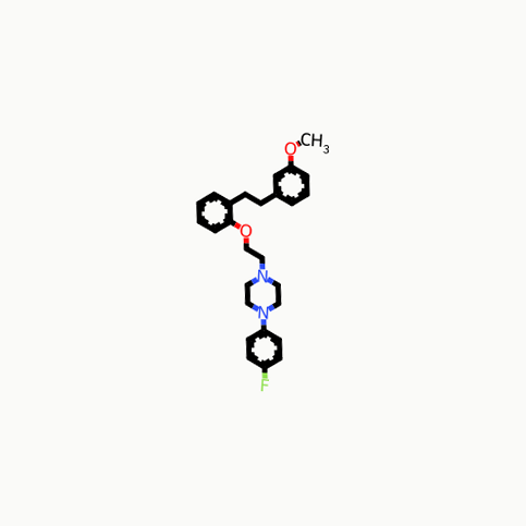 COc1cccc(CCc2ccccc2OCCN2CCN(c3ccc(F)cc3)CC2)c1